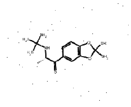 BC(B)(B)N[C@@H](C)C(=O)c1ccc2c(c1)OC(B)(O)O2